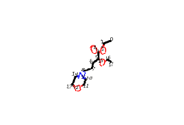 CCOC(=O)C(CCCN1CCOCC1)OCC